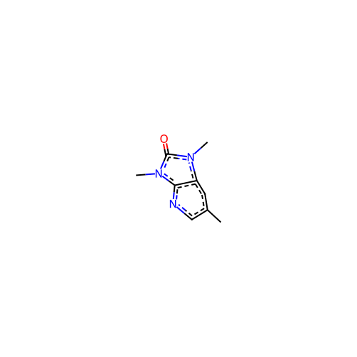 Cc1cnc2c(c1)n(C)c(=O)n2C